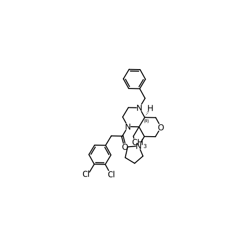 CCC12C(N3CCCC3)COC[C@@H]1N(Cc1ccccc1)CCN2C(=O)Cc1ccc(Cl)c(Cl)c1